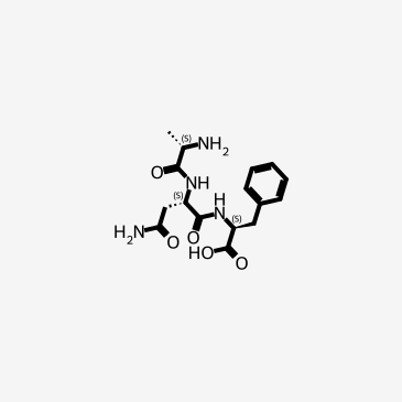 C[C@H](N)C(=O)N[C@@H](CC(N)=O)C(=O)N[C@@H](Cc1ccccc1)C(=O)O